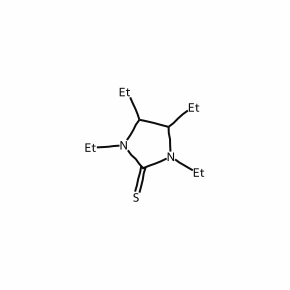 CCC1C(CC)N(CC)C(=S)N1CC